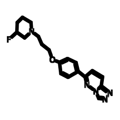 FC1CCCN(CCCOc2ccc(-c3ccc4nncn4n3)cc2)C1